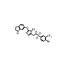 CCn1c(Oc2ccc3c(c2)NCC3)nnc1[C@@H](C)NS(=O)(=O)c1ccc(Br)c(C(F)(F)F)c1